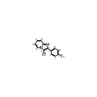 Fc1ccc(-c2nc3ccccn3c2Cl)cc1